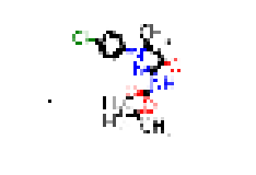 Cc1cc(=O)c(NC(=O)OC(C)(C)C)nn1-c1ccc(Cl)cc1